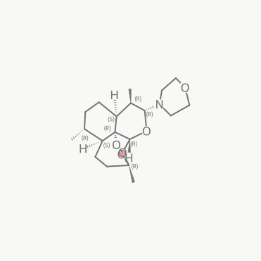 C[C@H]1[C@H](N2CCOCC2)O[C@@H]2O[C@@]3(C)CC[C@H]4[C@H](C)CC[C@@H]1[C@@]24OO3